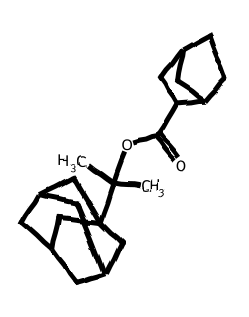 CC(C)(OC(=O)C1CC2CCC1C2)C12CC3CC(CC(C3)C1)C2